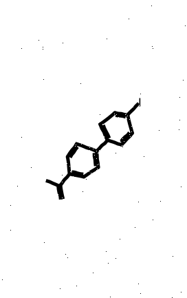 C=C(C)c1ccc(-c2ccc(I)cc2)cc1